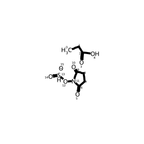 CCC(=O)O.O=C1CCC(=O)N1O[SH](=O)=O